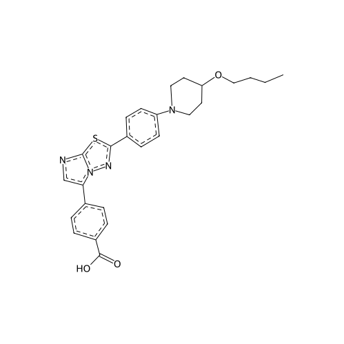 CCCCOC1CCN(c2ccc(-c3nn4c(-c5ccc(C(=O)O)cc5)cnc4s3)cc2)CC1